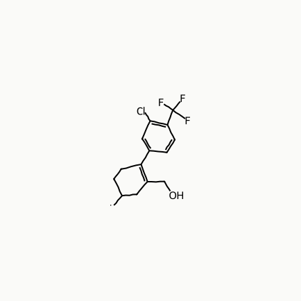 [CH2]C1CCC(c2ccc(C(F)(F)F)c(Cl)c2)=C(CO)C1